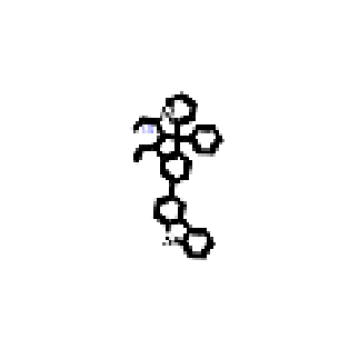 C=CC1=C(/C=C\C)C(c2ccccc2)(c2ccccn2)c2ccc(-c3ccc4sc5ccccc5c4c3)cc21